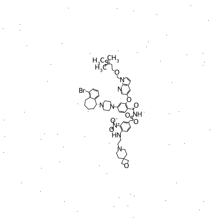 C[Si](C)(C)CCOCn1ccc2cc(Oc3cc(N4CCN([C@@H]5CCCCc6c(Br)cccc65)CC4)ccc3C(=O)NS(=O)(=O)c3ccc(NCCN4CCC5(CC4)COC5)c([N+](=O)[O-])c3)cnc21